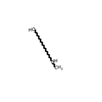 CCCCNCCCCCCCCCCCCCCCCCCCCO